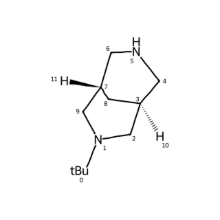 CC(C)(C)N1C[C@@H]2CNC[C@H](C2)C1